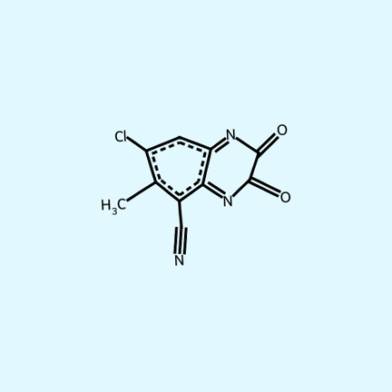 Cc1c(Cl)cc2c(c1C#N)=NC(=O)C(=O)N=2